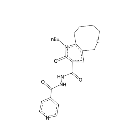 CCCCn1c2c(cc(C(=O)NNC(=O)c3ccncc3)c1=O)CCCCCC2